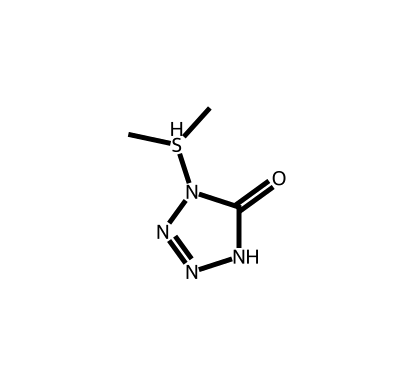 C[SH](C)n1nn[nH]c1=O